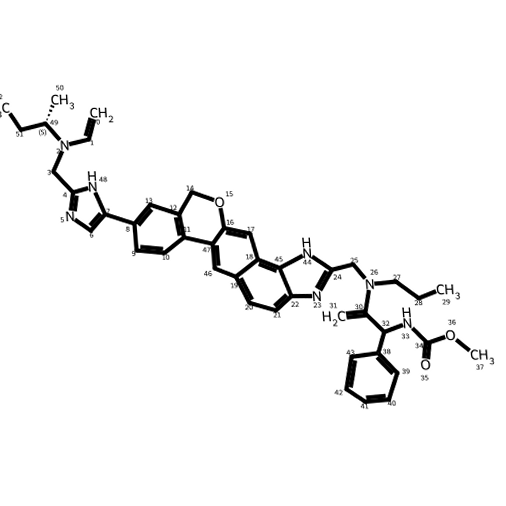 C=CN(Cc1ncc(-c2ccc3c(c2)COc2cc4c(ccc5nc(CN(CCC)C(=C)C(NC(=O)OC)c6ccccc6)[nH]c54)cc2-3)[nH]1)[C@@H](C)CC